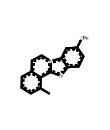 Cc1cccc2ccn3c4cc(C(C)(C)C)ccc4nc3c12